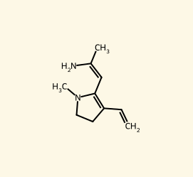 C=CC1=C(/C=C(/C)N)N(C)CC1